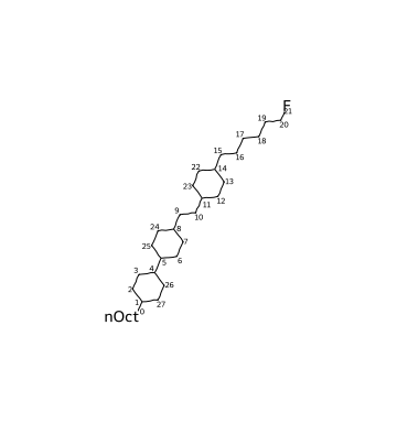 CCCCCCCCC1CCC(C2CCC(CCC3CCC(CCCCCCF)CC3)CC2)CC1